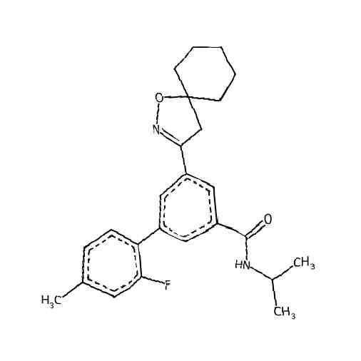 Cc1ccc(-c2cc(C(=O)NC(C)C)cc(C3=NOC4(CCCCC4)C3)c2)c(F)c1